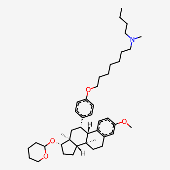 CCCCN(C)CCCCCCCOc1ccc([C@H]2C[C@@]3(C)[C@@H](CC[C@@H]3OC3CCCCO3)[C@]3(C)CCc4cc(OC)ccc4[C@@H]23)cc1